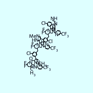 CN/C=C(\C(=N)C(=O)N1CC(F)(F)CC(Cc2cc(Cl)cc(-c3cn(C)nc3C(=O)N3CC(F)(F)C[C@@H](C)C3CNc3ccc(C(F)(F)F)cn3)c2)C1CNc1ccc(C(F)(F)F)cn1)c1ccc(Cl)c(CC2CC(F)(F)CN(C(=O)c3cc(Cl)ccc3N/N=C\C=N)C2CNc2ccc(C(F)(F)F)cn2)c1